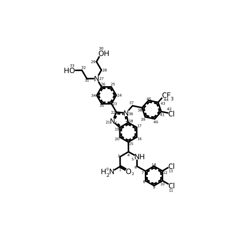 NC(=O)CC(NCc1ccc(Cl)c(Cl)c1)c1ccc2c(c1)nc(-c1ccc(N(CCO)CCO)cc1)n2Cc1ccc(Cl)c(C(F)(F)F)c1